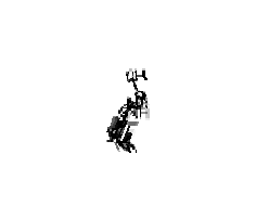 CN1C(=O)[C@@H](NC(=O)c2cn3c(-c4ncncc4F)csc3n2)COc2ccc(C#CC(C)(C)O)cc21